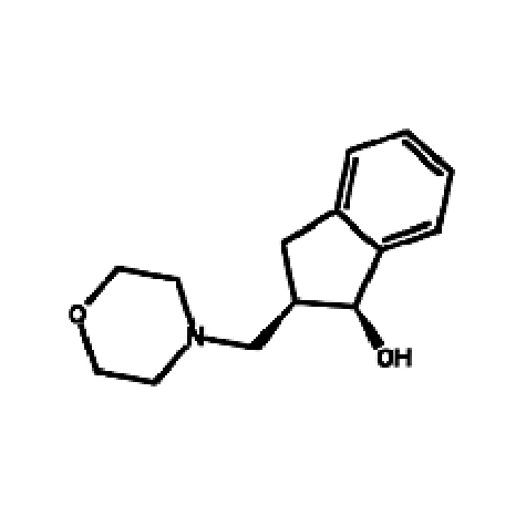 O[C@@H]1c2ccccc2C[C@@H]1CN1CCOCC1